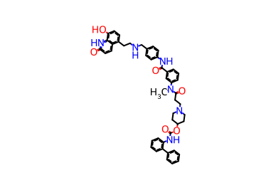 CN(C(=O)CCN1CCC(OC(=O)Nc2ccccc2-c2ccccc2)CC1)c1cccc(C(=O)Nc2ccc(CNCCc3ccc(O)c4[nH]c(=O)ccc34)cc2)c1